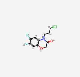 O=C1COc2cc(F)c(F)cc2N1CCCCl